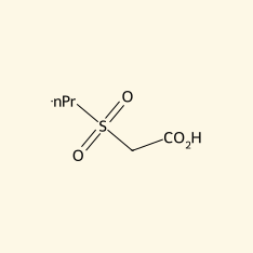 CC[CH]S(=O)(=O)CC(=O)O